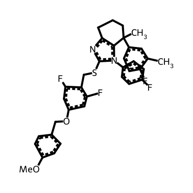 COc1ccc(COc2cc(F)c(CSc3nc4c(n3-c3ccc(F)cc3)C(C)(c3ccc(F)c(C)c3)CCC4)c(F)c2)cc1